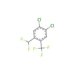 FC(F)c1cc(Cl)c(Cl)cc1C(F)(F)F